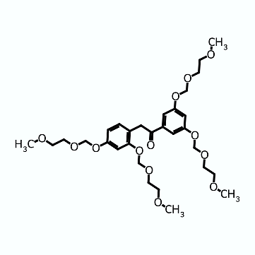 COCCOCOc1cc(OCOCCOC)cc(C(=O)Cc2ccc(OCOCCOC)cc2OCOCCOC)c1